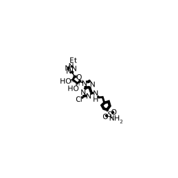 CCn1nnc([C@H]2O[C@@H](n3cnc4c(NCCc5ccc(S(N)(=O)=O)cc5)nc(Cl)nc43)[C@H](O)[C@@H]2O)n1